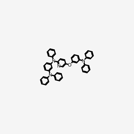 c1ccc(N(c2ccccc2)c2cccc(Oc3ccc(N(c4ccccc4)c4cccc(N(c5ccccc5)c5ccccc5)c4)nc3)c2)cc1